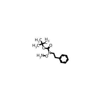 CC(C)(C)OC(=O)N(CCc1ccccc1)ON